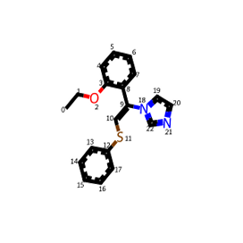 CCOc1ccccc1C(=CSc1ccccc1)n1ccnc1